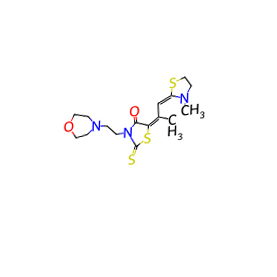 CC(C=C1SCCN1C)=C1SC(=S)N(CCN2CCOCC2)C1=O